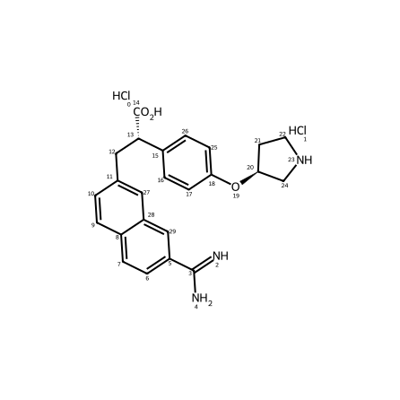 Cl.Cl.N=C(N)c1ccc2ccc(C[C@H](C(=O)O)c3ccc(O[C@H]4CCNC4)cc3)cc2c1